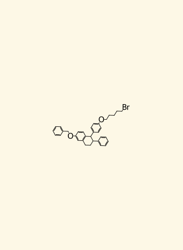 BrCCCCCOc1ccc(C2c3ccc(OCc4ccccc4)cc3CCC2c2ccccc2)cc1